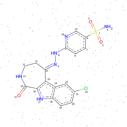 NS(=O)(=O)c1ccc(NN=C2CCNC(=O)c3[nH]c4ccc(Cl)cc4c32)nc1